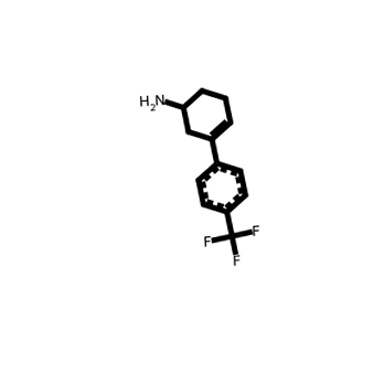 NC1CCC=C(c2ccc(C(F)(F)F)cc2)C1